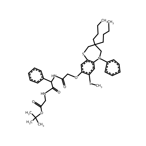 CCCCC1(CCCC)CSc2cc(OCC(=O)NC(C(=O)NCC(=O)OC(C)(C)C)c3ccccc3)c(SC)cc2N(c2ccccc2)C1